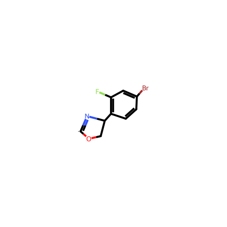 Fc1cc(Br)ccc1C1CO[C]=N1